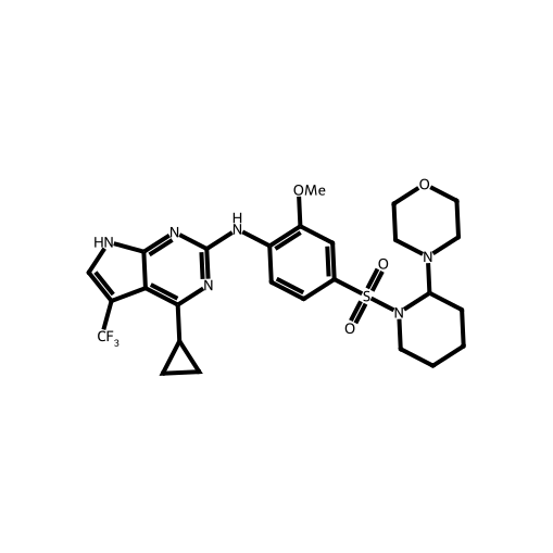 COc1cc(S(=O)(=O)N2CCCCC2N2CCOCC2)ccc1Nc1nc(C2CC2)c2c(C(F)(F)F)c[nH]c2n1